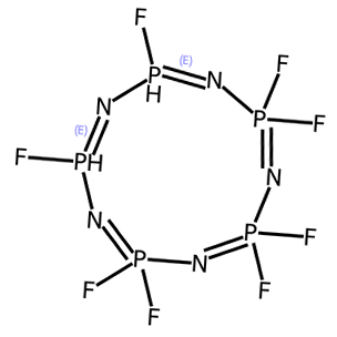 F/[PH]1=N/[PH](F)=N\P(F)(F)=NP(F)(F)=NP(F)(F)=N1